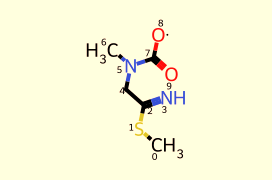 CSC(=N)CN(C)C([O])=O